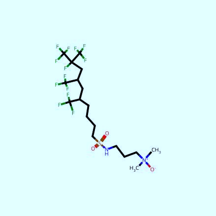 C[N+](C)([O-])CCCNS(=O)(=O)CCCCC(CC(CC(F)(C(F)(F)F)C(F)(F)F)C(F)(F)F)C(F)(F)F